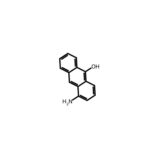 Nc1cccc2c(O)c3ccccc3cc12